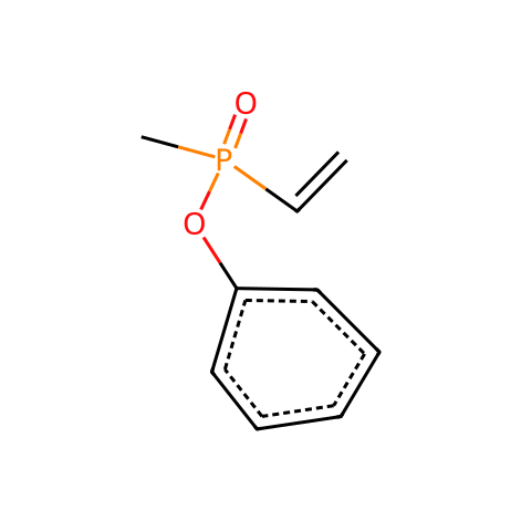 C=CP(C)(=O)Oc1ccccc1